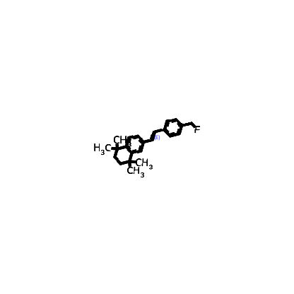 CC1(C)CCC(C)(C)c2cc(/C=C/c3ccc(CF)cc3)ccc21